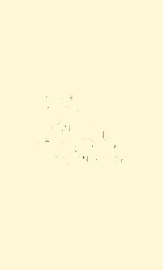 CCC(C(=O)O)C(=O)Nc1cc(N(C)c2cc(=O)oc3ccccc23)ccc1OC